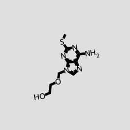 CSc1nc(N)c2ncn(COCCO)c2n1